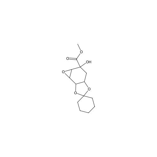 COC(=O)C1(O)CC2OC3(CCCCC3)OC2C2OC21